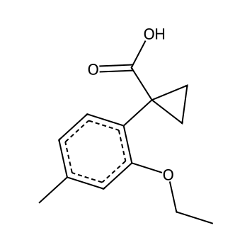 CCOc1cc(C)ccc1C1(C(=O)O)CC1